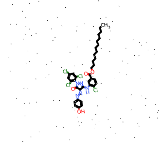 CCCCCCCCCCCCCCOC(=O)c1ccc(Cl)c(NC2=NN(c3c(Cl)cc(Cl)cc3Cl)C(=O)C2/N=N/c2ccc(O)cc2)c1